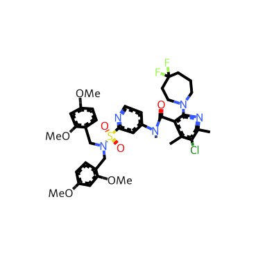 COc1ccc(CN(Cc2ccc(OC)cc2OC)S(=O)(=O)c2cc(N(C)C(=O)c3c(N4CCCC(F)(F)CC4)nc(C)c(Cl)c3C)ccn2)c(OC)c1